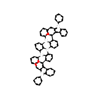 c1ccc(N2c3cccc4c3B(c3cccc(-c5cccc6c5c5ccccc5n6-c5ccccc5)c32)c2cccc(-c3cccc5c3c3ccccc3n5-c3ccccc3)c2N4c2ccccc2)cc1